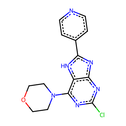 Clc1nc(N2CCOCC2)c2[nH]c(-c3ccncc3)nc2n1